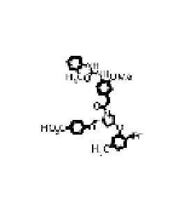 COc1cc(CC(=O)N2C[C@@H](Oc3cc(C)ccc3C(C)C)C[C@H]2COc2ccc(C(=O)O)cc2)ccc1NC(=O)Nc1ccccc1C